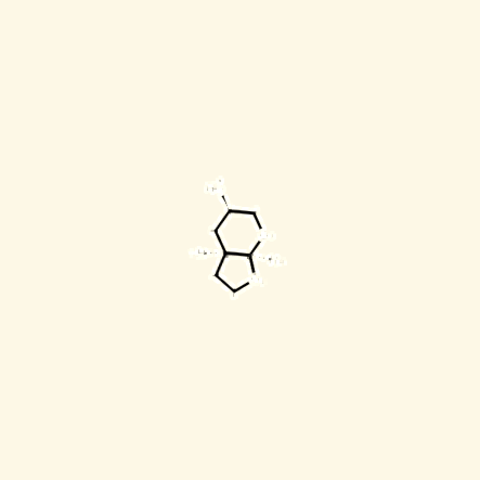 O[C@H]1CO[C@H]2OCC[C@H]2C1